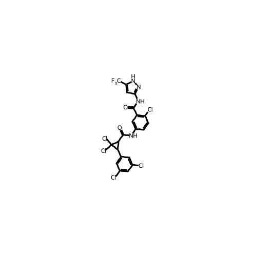 O=C(Nc1cc(C(F)(F)F)[nH]n1)c1cc(NC(=O)C2C(c3cc(Cl)cc(Cl)c3)C2(Cl)Cl)ccc1Cl